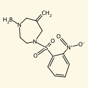 BN1CCN(S(=O)(=O)c2ccccc2[N+](=O)[O-])CC(=C)C1